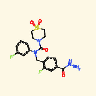 NNC(=O)c1ccc(CN(C(=O)N2CCS(=O)(=O)CC2)c2cccc(F)c2)c(F)c1